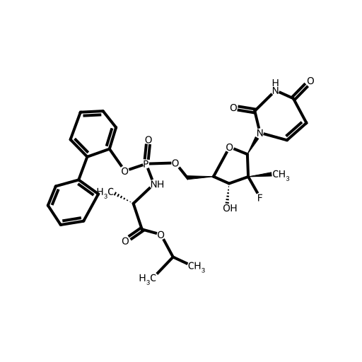 CC(C)OC(=O)[C@H](C)NP(=O)(OC[C@H]1O[C@@H](n2ccc(=O)[nH]c2=O)[C@](C)(F)[C@@H]1O)Oc1ccccc1-c1ccccc1